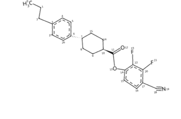 CCCc1ccc([C@H]2CC[C@H](C(=O)Oc3ccc(C#N)c(F)c3F)CC2)cc1